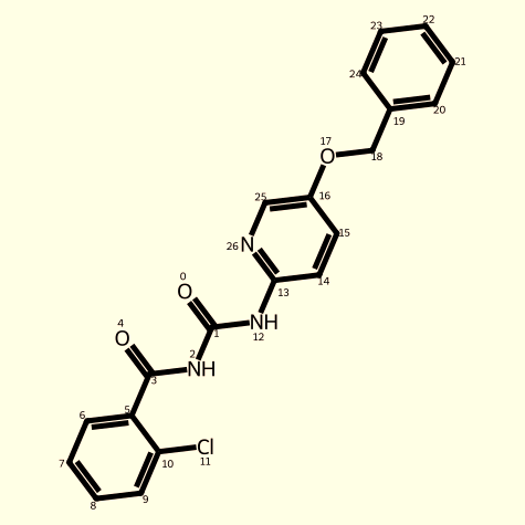 O=C(NC(=O)c1ccccc1Cl)Nc1ccc(OCc2ccccc2)cn1